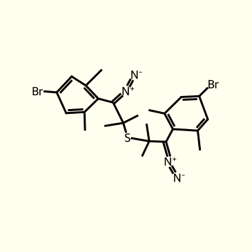 Cc1cc(Br)cc(C)c1C(=[N+]=[N-])C(C)(C)SC(C)(C)C(=[N+]=[N-])c1c(C)cc(Br)cc1C